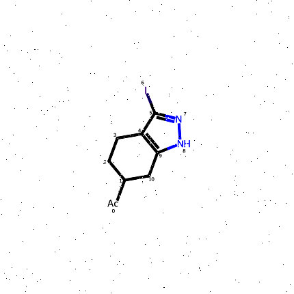 CC(=O)C1CCc2c(I)n[nH]c2C1